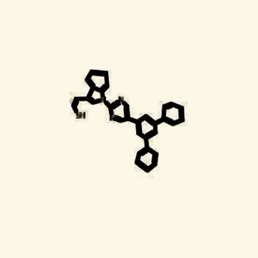 S/C=C\c1cn(-c2ncc(-c3cc(-c4ccccc4)cc(-c4ccccc4)c3)cn2)c2ccccc12